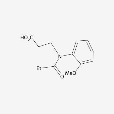 CCC(=O)N(CCC(=O)O)c1ccccc1OC